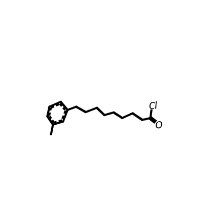 Cc1cccc(CCCCCCCCC(=O)Cl)c1